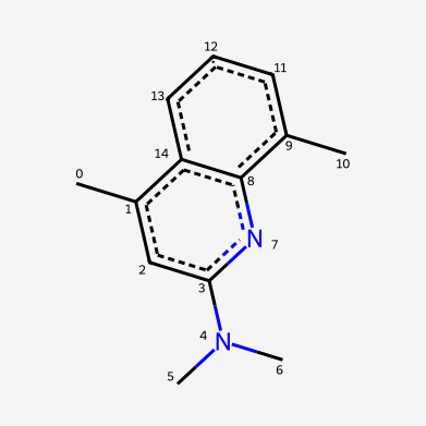 Cc1cc(N(C)C)nc2c(C)c[c]cc12